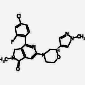 CN1Cc2c(cc(N3CCO[C@@H](c4cnn(C)c4)C3)nc2-c2ccc(Cl)cc2F)C1=O